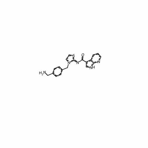 NCc1ccc(Cn2ccs/c2=N\C(=O)c2c[nH]c3ncccc23)cc1